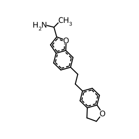 CC(N)c1cc2ccc(CCc3ccc4c(c3)CCO4)cc2o1